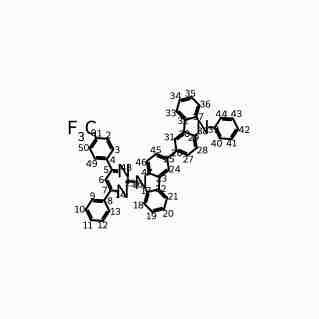 FC(F)(F)c1ccc(-c2cc(-c3ccccc3)nc(-n3c4ccccc4c4cc(-c5ccc6c(c5)c5ccccc5n6-c5ccccc5)ccc43)n2)cc1